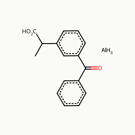 CC(C(=O)O)c1cccc(C(=O)c2ccccc2)c1.[AlH3]